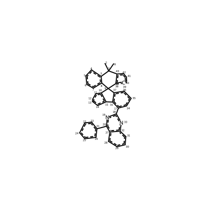 CC1(C)c2ccccc2C2(c3ccccc3-c3c(-c4nc(-c5ccccc5)c5ccccc5n4)cccc32)c2ccccc21